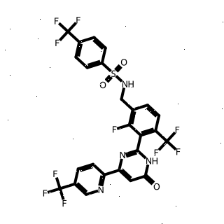 O=c1cc(-c2ccc(C(F)(F)F)cn2)nc(-c2c(C(F)(F)F)ccc(CNS(=O)(=O)c3ccc(C(F)(F)F)cc3)c2F)[nH]1